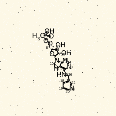 CP(=O)(O)OOC[C@H]1O[C@@H](n2cnc3c(NCc4cccnc4)ncnc32)[C@H](O)[C@@H]1O